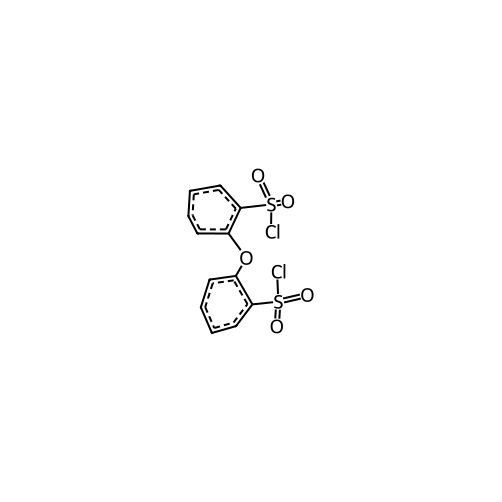 O=S(=O)(Cl)c1ccccc1Oc1ccccc1S(=O)(=O)Cl